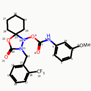 COc1cccc(NC(=O)ON2N(Cc3ccccc3C(F)(F)F)C(=O)OC23CCCCC3)c1